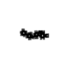 Clc1ccc2c3c([nH]c2c1)CCC(CN1CC=C(c2ccccc2)CC1)C3